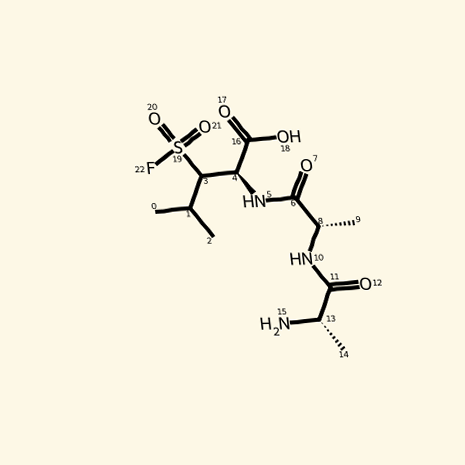 CC(C)C([C@H](NC(=O)[C@H](C)NC(=O)[C@H](C)N)C(=O)O)S(=O)(=O)F